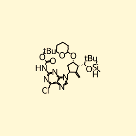 C=C1[C@@H](C(O[SiH](C)C)C(C)(C)C)[C@@H](OC2CCCCO2)C[C@@H]1n1cnc2c(Cl)nc(NC(=O)OC(C)(C)C)nc21